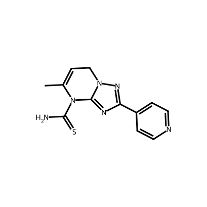 CC1=CCn2nc(-c3ccncc3)nc2N1C(N)=S